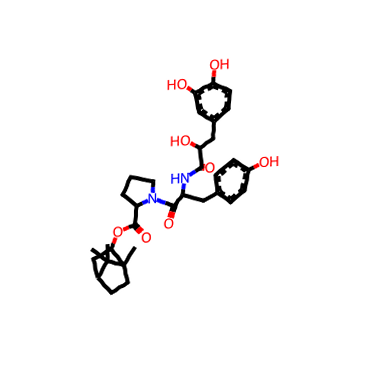 CC1(C)C2CCC1(C)C(OC(=O)C1CCCN1C(=O)C(Cc1ccc(O)cc1)NC(=O)C(O)Cc1ccc(O)c(O)c1)C2